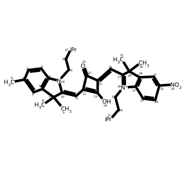 Cc1ccc2c(c1)C(C)(C)/C(=C/C1=C(O)C(=C\C3=[N+](CCC(C)C)c4ccc([N+](=O)[O-])cc4C3(C)C)/C1=O)N2CCC(C)C